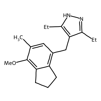 CCc1n[nH]c(CC)c1Cc1cc(C)c(OC)c2c1CCC2